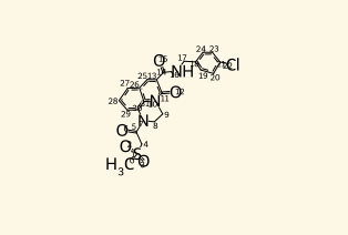 CS(=O)(=O)CC(=O)N1CCn2c(=O)c(C(=O)NCc3ccc(Cl)cc3)cc3cccc1c32